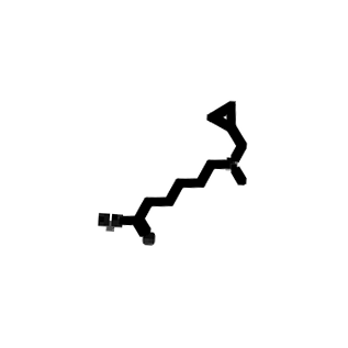 CN(CCCCCC(N)=O)CC1CC1